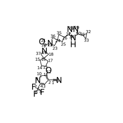 N#Cc1cc(C(F)(F)F)ncc1OC1CCC2(C1)CN(C(=O)N1CC3(CC(c4nnc(C5CC5)[nH]4)C3)C1)C2